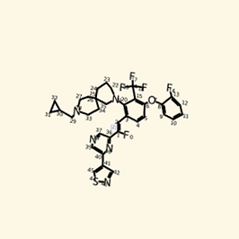 F/C(=C\c1ccc(Oc2ccccc2F)c(C(F)(F)F)c1N1CCCC2(CCN(CC3CC3)CC2)C1)c1cncc(-c2cnsc2)n1